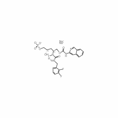 CN(C(=O)NCc1cccc(F)c1F)[C@H](COC(=O)Nc1cc2ccccc2cn1)C[C@H](O)COP(=O)([O-])[O-].[Na+].[Na+]